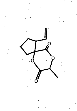 [CH]=CC1C[CH]CC12OC(=O)C(C)OC2=O